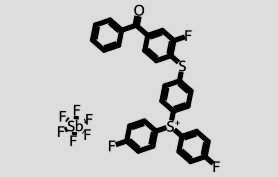 O=C(c1ccccc1)c1ccc(Sc2ccc([S+](c3ccc(F)cc3)c3ccc(F)cc3)cc2)c(F)c1.[F][Sb-]([F])([F])([F])([F])[F]